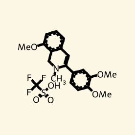 COc1ccc(C2=Cc3cccc(OC)c3CN2C)cc1OC.O=S(=O)(O)C(F)(F)F